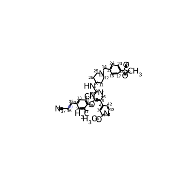 COc1cc(-c2cnc(NC3CCN(Cc4ccc(S(C)(=O)=O)cc4)CC3)nc2Oc2c(C)cc(/C=C/C#N)cc2C)ccn1